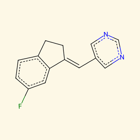 Fc1ccc2c(c1)C(=Cc1cncnc1)CC2